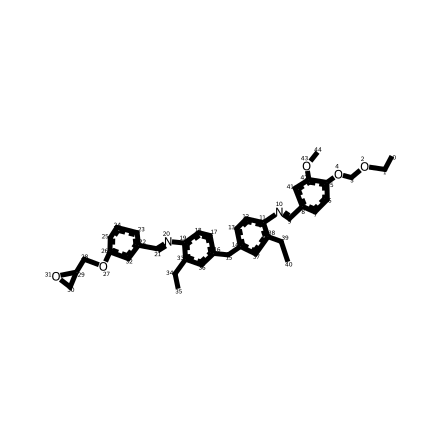 CCOCOc1ccc(/C=N/c2ccc(Cc3ccc(/N=C/c4cccc(OCC5CO5)c4)c(CC)c3)cc2CC)cc1OC